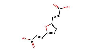 O=C(O)C=Cc1ccc(C=CC(=O)O)o1